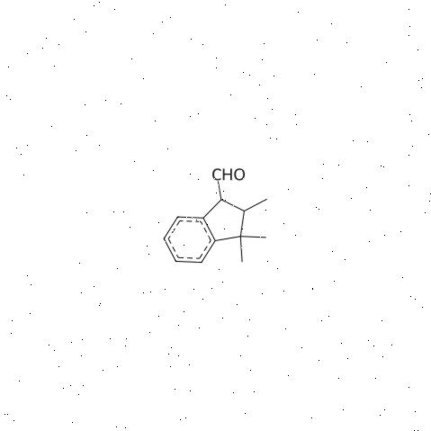 CC1C(C=O)c2ccccc2C1(C)C